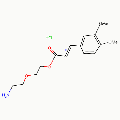 COc1ccc(/C=C/C(=O)OCCOCCN)cc1OC.Cl